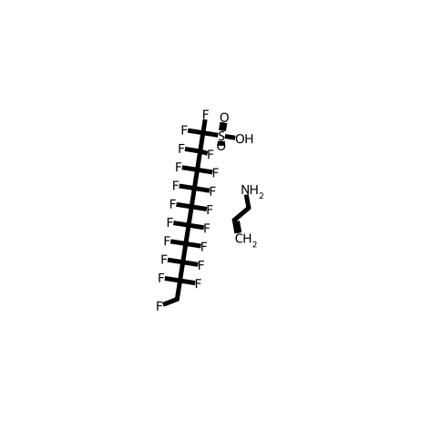 C=CCN.O=S(=O)(O)C(F)(F)C(F)(F)C(F)(F)C(F)(F)C(F)(F)C(F)(F)C(F)(F)C(F)(F)C(F)(F)CF